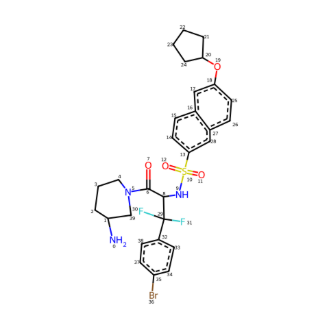 NC1CCCN(C(=O)C(NS(=O)(=O)c2ccc3cc(OC4CCCC4)ccc3c2)C(F)(F)c2ccc(Br)cc2)C1